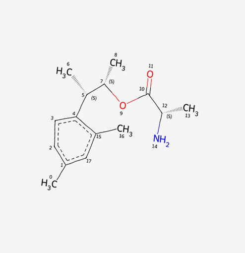 Cc1ccc([C@H](C)[C@H](C)OC(=O)[C@H](C)N)c(C)c1